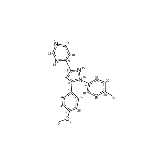 COc1ccc(-c2cc(-c3ccncn3)nn2-c2ccc(C)cc2)cc1